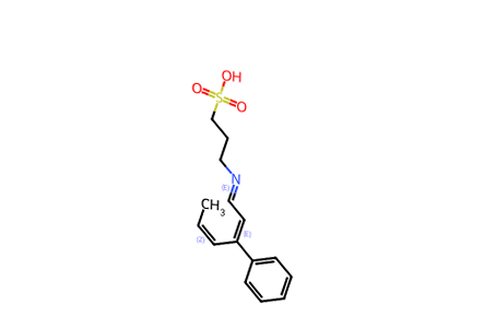 C\C=C/C(=C\C=N\CCCS(=O)(=O)O)c1ccccc1